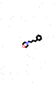 [c]1cccc(CCCCN2CCOCC2)c1